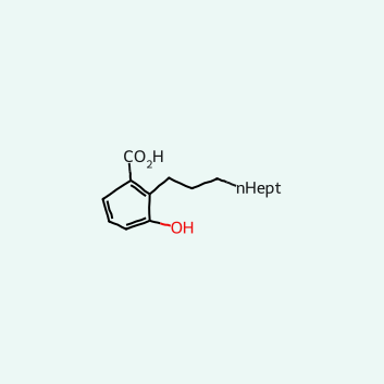 CCCCCCCCCCc1c(O)cccc1C(=O)O